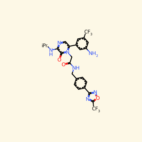 CC(C)Nc1ncc(-c2cc(N)cc(C(F)(F)F)c2)n(CC(=O)NCc2ccc(-c3noc(C(F)(F)F)n3)cc2)c1=O